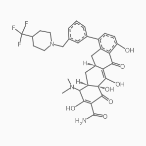 CN(C)C1C(O)=C(C(N)=O)C(=O)[C@@]2(O)C(O)=C3C(=O)c4c(O)ccc(-c5cccc(CN6CCC(C(F)(F)F)CC6)c5)c4C[C@H]3C[C@@H]12